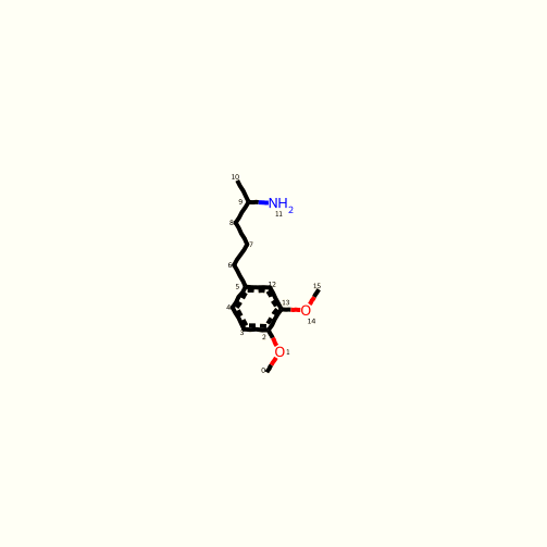 COc1ccc(CCCC(C)N)cc1OC